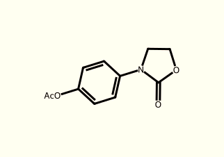 CC(=O)Oc1ccc(N2CCOC2=O)cc1